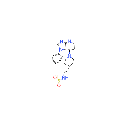 O=[SH](=O)NCCC1CCN(c2ccnc3ncn(-c4ccccc4)c23)CC1